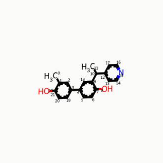 Cc1cc(-c2ccc(O)c(C(C)c3ccncc3)c2)ccc1O